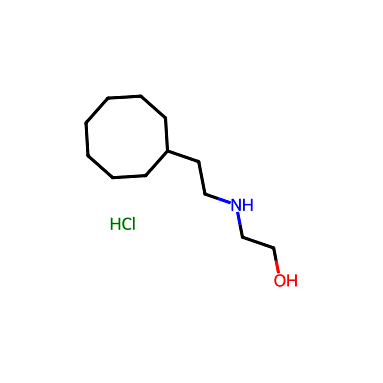 Cl.OCCNCCC1CCCCCCC1